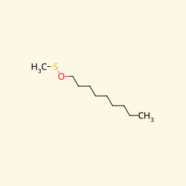 CCCCCCCCCOSC